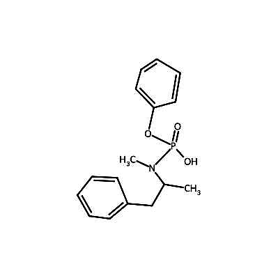 CC(Cc1ccccc1)N(C)P(=O)(O)Oc1ccccc1